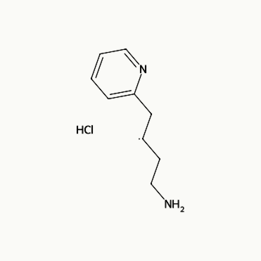 Cl.NCC[CH]Cc1ccccn1